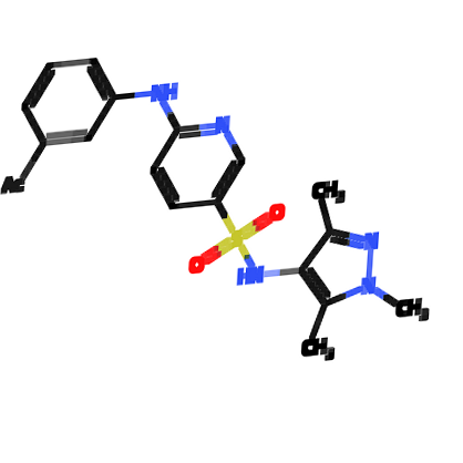 CC(=O)c1cccc(Nc2ccc(S(=O)(=O)Nc3c(C)nn(C)c3C)cn2)c1